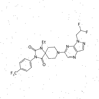 CCN1C(=O)N(c2ccc(C(F)(F)F)cc2)C(=O)C12CCN(c1cnc3cnn(CC(F)F)c3n1)CC2